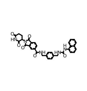 O=C1CCC(N2C(=O)c3ccc(C(=O)NCc4ccc(CNC(=O)Nc5cccc6ccccc56)cc4)cc3C2=O)C(=O)N1